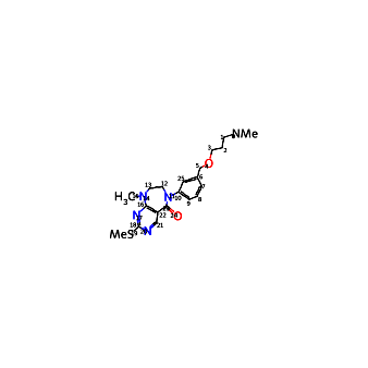 CNCCCOCc1cccc(N2CCN(C)c3nc(SC)ncc3C2=O)c1